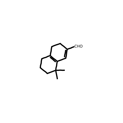 CC1(C)CCCC2=C1C=C(C=O)CC2